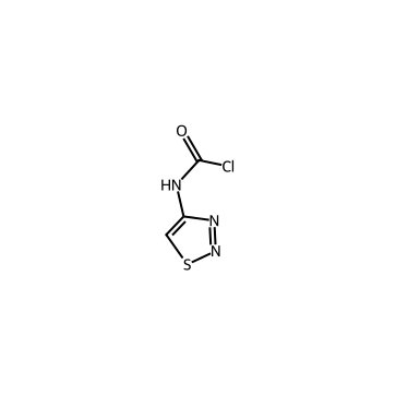 O=C(Cl)Nc1csnn1